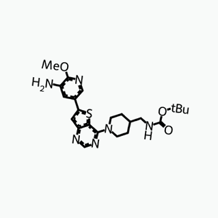 COc1ncc(-c2cc3ncnc(N4CCC(CNC(=O)OC(C)(C)C)CC4)c3s2)cc1N